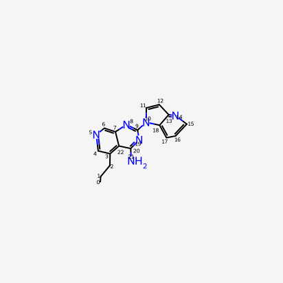 CCCc1cncc2nc(-n3ccc4ncccc43)nc(N)c12